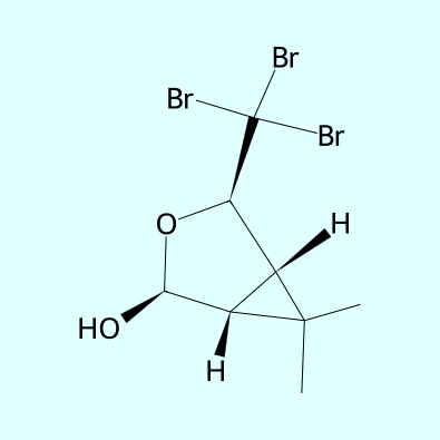 CC1(C)[C@@H]2[C@H]1[C@@H](O)O[C@H]2C(Br)(Br)Br